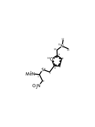 CNC(C[N+](=O)[O-])SCc1ccc(CN(C)C)o1